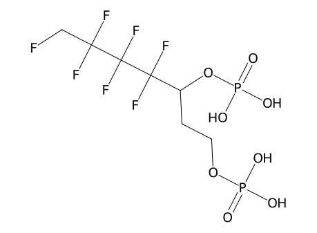 O=P(O)(O)OCCC(OP(=O)(O)O)C(F)(F)C(F)(F)C(F)(F)CF